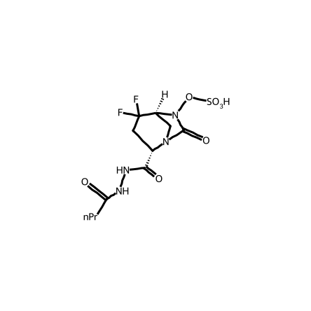 CCCC(=O)NNC(=O)[C@@H]1CC(F)(F)[C@@H]2CN1C(=O)N2OS(=O)(=O)O